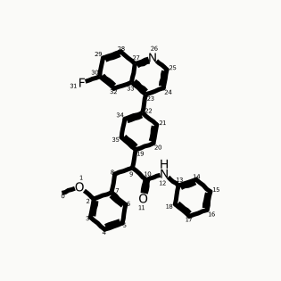 COc1ccccc1CC(C(=O)Nc1ccccc1)c1ccc(-c2ccnc3ccc(F)cc23)cc1